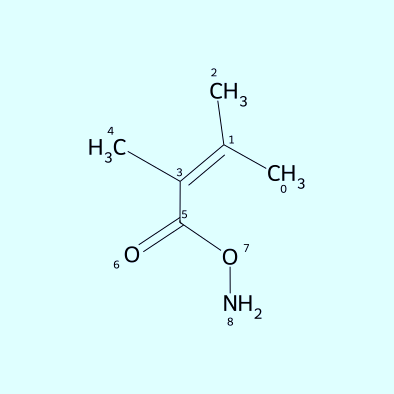 CC(C)=C(C)C(=O)ON